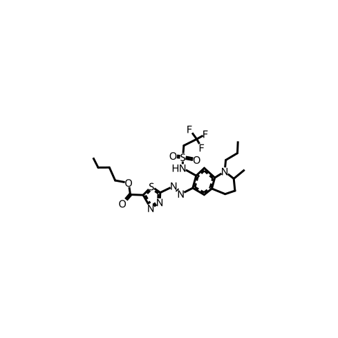 CCCCOC(=O)c1nnc(N=Nc2cc3c(cc2NS(=O)(=O)CC(F)(F)F)N(CCC)C(C)CC3)s1